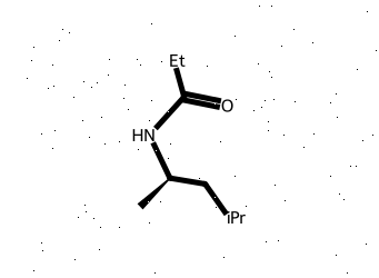 CCC(=O)N[C@H](C)CC(C)C